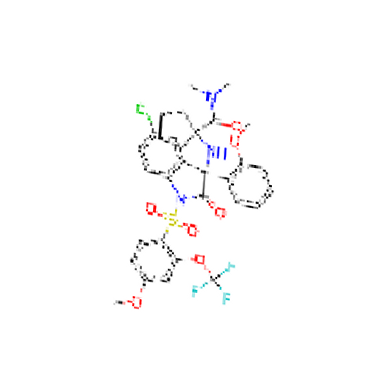 COc1ccc(S(=O)(=O)N2C(=O)C(NC3(C(=O)N(C)C)CCCC3)(c3ccccc3OC)c3cc(Cl)ccc32)c(OC(F)(F)F)c1